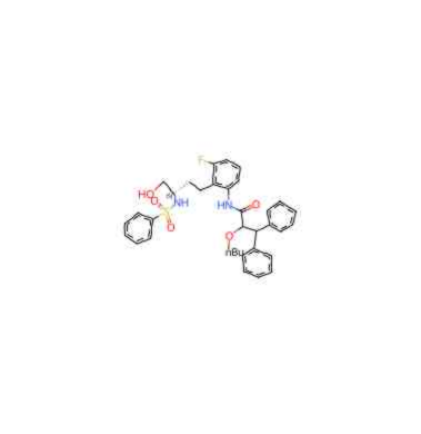 CCCCOC(C(=O)Nc1cccc(F)c1CC[C@@H](CO)NS(=O)(=O)c1ccccc1)C(c1ccccc1)c1ccccc1